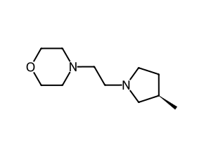 C[C@@H]1CCN(CCN2CCOCC2)C1